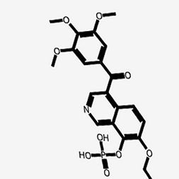 CCOc1ccc2c(C(=O)c3cc(OC)c(OC)c(OC)c3)cncc2c1OP(=O)(O)O